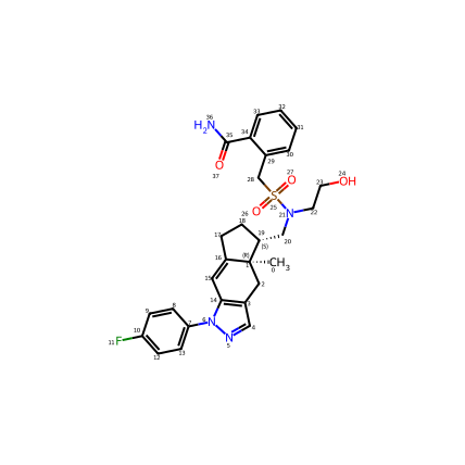 C[C@]12Cc3cnn(-c4ccc(F)cc4)c3C=C1CC[C@@H]2CN(CCO)S(=O)(=O)Cc1ccccc1C(N)=O